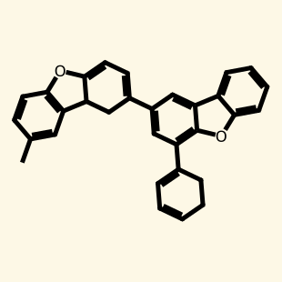 Cc1ccc2c(c1)C1CC(c3cc(C4=CC=CCC4)c4oc5ccccc5c4c3)=CC=C1O2